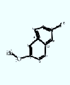 CCC(C)Oc1[c]c2ccc(I)cc2cc1